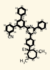 CCC1(c2ccc(-c3nc(-c4ccccc4)nc(-c4cc(-c5ccccc5)cc(-c5cccc(C#N)c5)c4)n3)cc2)C[C@H](C)CC[C@H](C)C1